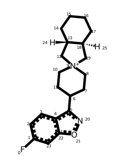 Fc1ccc2c(C3CC[N+]4(CC3)C[C@@H]3CCCC[C@H]3C4)noc2c1